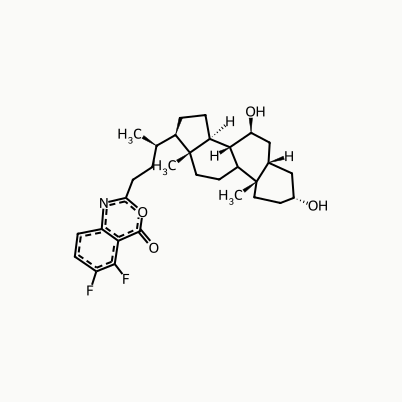 C[C@H](CCc1nc2ccc(F)c(F)c2c(=O)o1)[C@H]1CC[C@H]2[C@H]3C(CC[C@]12C)[C@@]1(C)CC[C@@H](O)C[C@H]1C[C@@H]3O